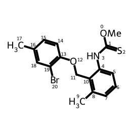 COC(=S)Nc1cccc(C)c1COc1ccc(C)cc1Br